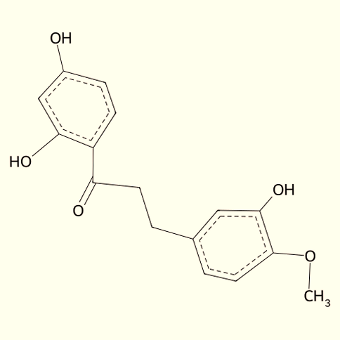 COc1ccc(CCC(=O)c2ccc(O)cc2O)cc1O